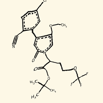 COc1cn(C(CCOC(F)(F)F)C(=O)OC(C)(C)C)c(=O)cc1-c1cc(Cl)ccc1C#N